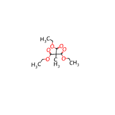 CCOC(=O)C(C)(C(=O)OCC)C(=O)OCC